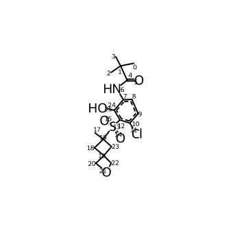 CC(C)(C)C(=O)Nc1ccc(Cl)c(S(=O)(=O)C2(C)CC3(COC3)C2)c1O